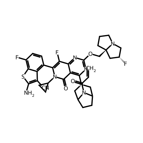 C=CC(=O)N1C2CCC1CN(c1nc(OC[C@@]34CCCN3C[C@H](F)C4)nc3c(F)c(-c4ccc(F)c5sc(N)c(C#N)c45)n(C4CC4)c(=O)c13)C2